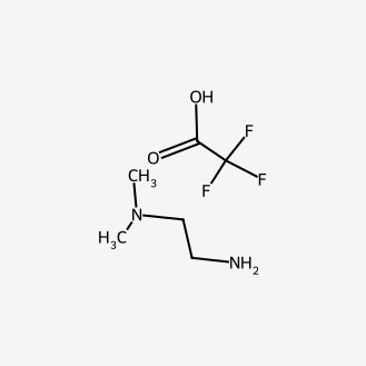 CN(C)CCN.O=C(O)C(F)(F)F